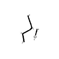 CCCC.C[O]